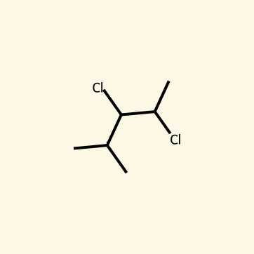 C[C](C)C(Cl)C(C)Cl